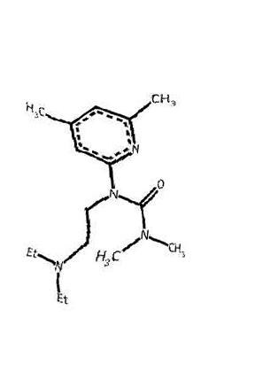 CCN(CC)CCN(C(=O)N(C)C)c1cc(C)cc(C)n1